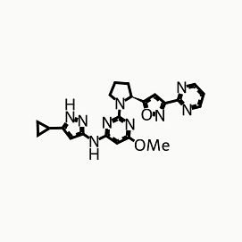 COc1cc(Nc2cc(C3CC3)[nH]n2)nc(N2CCC[C@H]2c2cc(-c3ncccn3)no2)n1